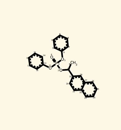 CC(OP(=O)(Oc1ccccc1)Oc1ccccc1)c1ccc2ccccc2c1